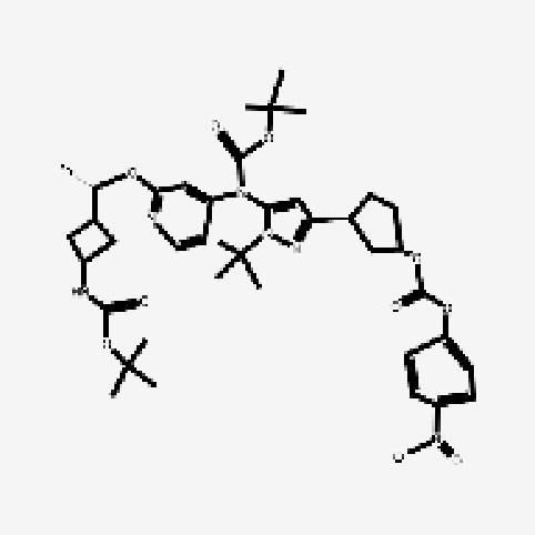 C[C@H](Oc1cc(N(C(=O)OC(C)(C)C)c2cc([C@H]3CC[C@@H](OC(=O)Oc4ccc([N+](=O)[O-])cc4)C3)nn2C(C)(C)C)ccn1)C1CC(NC(=O)OC(C)(C)C)C1